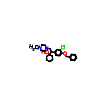 CN1CCN(CC(c2ccc(OCc3ccccc3)c(Cl)c2)C2(O)CCCCC2)CC1